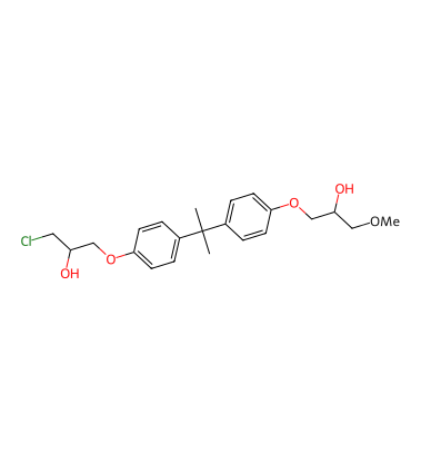 COCC(O)COc1ccc(C(C)(C)c2ccc(OCC(O)CCl)cc2)cc1